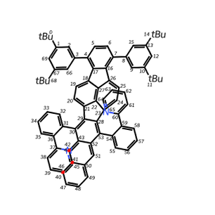 CC(C)(C)c1cc(-c2ccc(-c3cc(C(C)(C)C)cc(C(C)(C)C)c3)c3c2-c2ccc4c5c(ccc-3c25)-c2c-4c(-c3ccccc3-c3ccccn3)c3cc4ccccc4cc3c2-c2ccccc2-c2ccccn2)cc(C(C)(C)C)c1